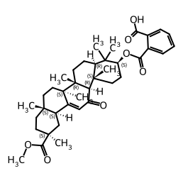 COC(=O)[C@@]1(C)CC[C@]2(C)CC[C@]3(C)C(=CC(=O)[C@@H]4[C@@]5(C)CC[C@H](OC(=O)c6ccccc6C(=O)O)C(C)(C)[C@@H]5CC[C@]43C)[C@H]2C1